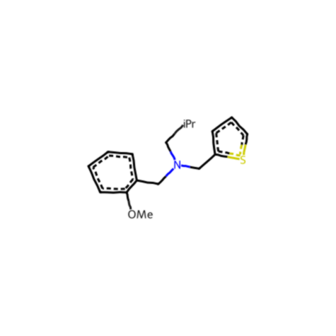 COc1ccccc1CN(Cc1cccs1)CC(C)C